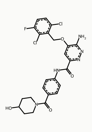 Nc1nnc(C(=O)Nc2ccc(C(=O)N3CCC(O)CC3)cc2)cc1OCc1c(Cl)ccc(F)c1Cl